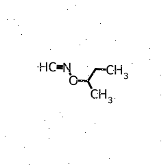 [CH]=NOC(C)CC